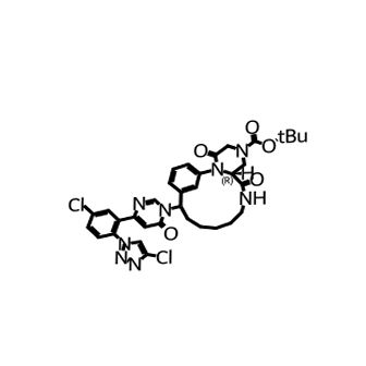 CC(C)(C)OC(=O)N1CC(=O)N2c3cccc(c3)C(n3cnc(-c4cc(Cl)ccc4-n4cc(Cl)nn4)cc3=O)CCCCCNC(=O)[C@H]2C1